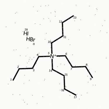 Br.CCCC[N+](CCCC)(CCCC)CCCC.I